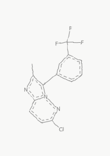 Cc1nc2ccc(Cl)nn2c1-c1cccc(C(F)(F)F)c1